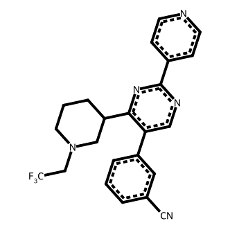 N#Cc1cccc(-c2cnc(-c3ccncc3)nc2C2CCCN(CC(F)(F)F)C2)c1